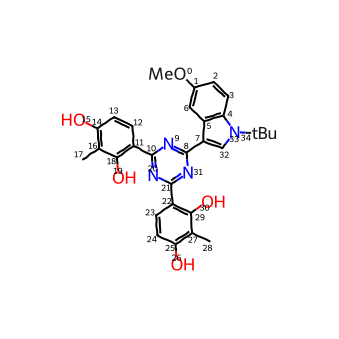 COc1ccc2c(c1)c(-c1nc(-c3ccc(O)c(C)c3O)nc(-c3ccc(O)c(C)c3O)n1)cn2C(C)(C)C